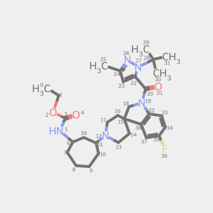 CCOC(=O)NC1CCCCC(N2CCC3(CC2)CN(C(=O)c2cc(C)nn2C(C)(C)C)c2ccc(F)cc23)C1